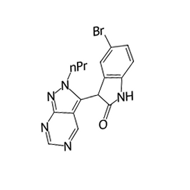 CCCn1nc2ncncc2c1C1C(=O)Nc2ccc(Br)cc21